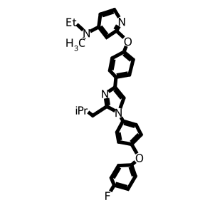 CCN(C)c1ccnc(Oc2ccc(-c3cn(-c4ccc(Oc5ccc(F)cc5)cc4)c(CC(C)C)n3)cc2)c1